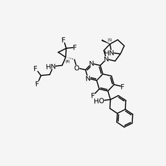 C[C@]12CCC(CN(c3nc(OC[C@]4(CNCC(F)F)CC4(F)F)nc4c(F)c(C5(O)C=Cc6ccccc6C5)c(F)cc34)C1)N2